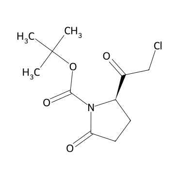 CC(C)(C)OC(=O)N1C(=O)CC[C@@H]1C(=O)CCl